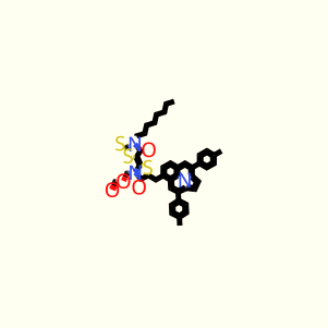 CCCCCCCCN1C(=O)/C(=C2\SC(Cc3ccc4cc(-c5ccc(C)cc5)c5ccc6c(-c7ccc(C)cc7)cc3c4n56)C(=O)N2COC=O)SC1=S